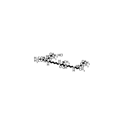 COC(C(=O)NCCCCCCN/C(=N/C(=O)OC(C)(C)C)NC(=O)OC(C)(C)C)C(=O)NCCCCNCCC(C)NC(=O)OC(C)(C)C.Cl